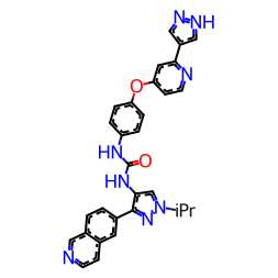 CC(C)n1cc(NC(=O)Nc2ccc(Oc3ccnc(-c4cn[nH]c4)c3)cc2)c(-c2ccc3cnccc3c2)n1